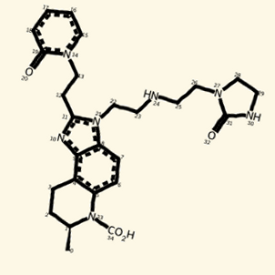 C[C@H]1CCc2c(ccc3c2nc(CCn2ccccc2=O)n3CCNCCN2CCNC2=O)N1C(=O)O